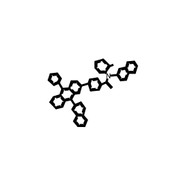 C=C(c1ccc(-c2ccc3c(-c4ccccc4)c4ccccc4c(-c4ccc5ccccc5c4)c3c2)cc1)N(c1ccc2ccccc2c1)c1ccccc1C